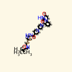 CC(C)(C)c1cnc(CSc2cnc(NC(=O)C3CCN(C4CCN(Cc5ccccc5N5CCC(=O)NC5=O)CC4)CC3)s2)o1